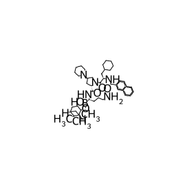 CC1(C)[C@@H]2C[C@H]3OB([C@H](CCCN)NC(=O)[C@@H]4C[C@@H](N5CCCCC5)CN4C(=O)[C@@H](CC4CCCCC4)NC(=O)c4ccc5ccccc5c4)O[C@@]3(C)[C@H]1C2